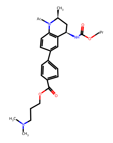 CC(=O)N1c2ccc(-c3ccc(C(=O)OCCCN(C)C)cc3)cc2[C@H](NC(=O)OC(C)C)C[C@@H]1C